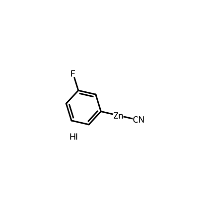 I.N#[C][Zn][c]1cccc(F)c1